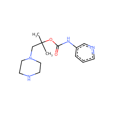 CC(C)(CN1CCNCC1)OC(=O)Nc1cccnc1